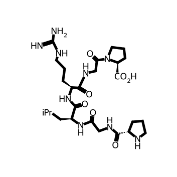 CC(C)C[C@H](NC(=O)CNC(=O)[C@@H]1CCCN1)C(=O)N[C@@H](CCCNC(=N)N)C(=O)NCC(=O)N1CCC[C@H]1C(=O)O